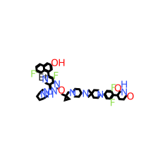 CCc1c(F)ccc2cc(O)cc(-c3ncc4c(N5CC6CCC(C5)N6)nc(OCC5(CN6CCC(N7CC8(CCN(c9cc(F)c(C%10CCC(=O)NC%10=O)c(F)c9)CC8)C7)CC6)CC5)nc4c3F)c12